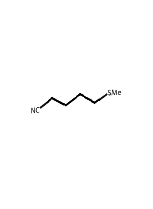 CSCCCCC#N